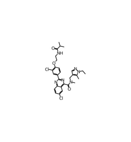 CCn1ncc(CN(C)C(=O)c2nc(-c3ccc(OCCNC(=O)C(C)C)c(Cl)c3)nc3ccc(Cl)cc23)c1C